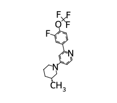 C[C@H]1CCCN(c2ccnc(-c3ccc(OC(F)(F)F)c(F)c3)c2)C1